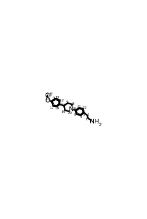 NCCc1ccc(N2CCC(c3ccc(OC(F)(F)F)cc3)CC2)cc1